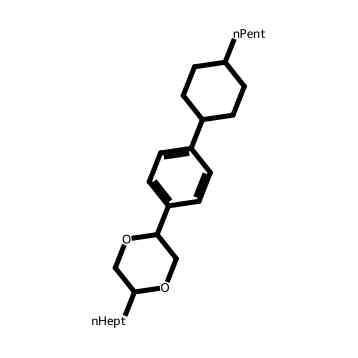 CCCCCCCC1COC(c2ccc(C3CCC(CCCCC)CC3)cc2)CO1